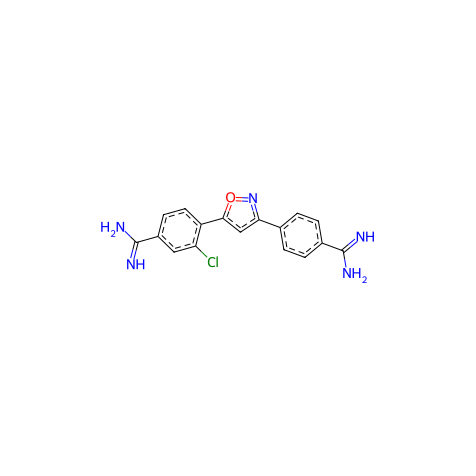 N=C(N)c1ccc(-c2cc(-c3ccc(C(=N)N)cc3Cl)on2)cc1